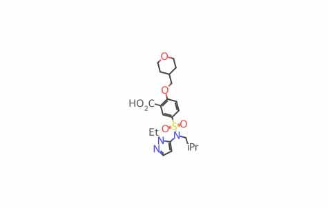 CCn1nccc1N(CC(C)C)S(=O)(=O)c1ccc(OCC2CCOCC2)c(C(=O)O)c1